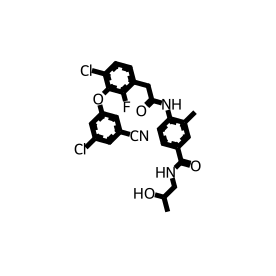 Cc1cc(C(=O)NCC(C)O)ccc1NC(=O)Cc1ccc(Cl)c(Oc2cc(Cl)cc(C#N)c2)c1F